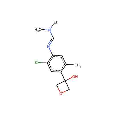 CCN(C)/C=N/c1cc(C)c(C2(O)COC2)cc1Cl